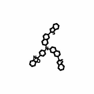 c1ccc2sc(-c3ccc4ccc(N(c5ccc(-c6nc7ccccc7o6)cc5)c5ccc6ccc(-c7cc8ccccc8s7)cc6c5)cc4c3)cc2c1